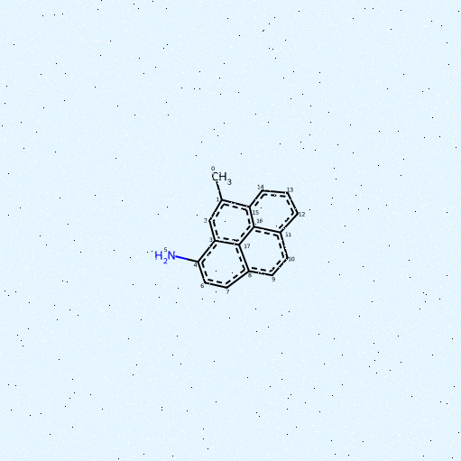 Cc1cc2c(N)ccc3ccc4cccc1c4c32